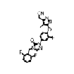 Cc1c(CC#N)noc1Oc1ccc(-n2ncn(Cc3c(F)cccc3F)c2=O)cc1F